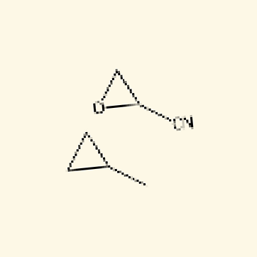 CC1CC1.N#CC1CO1